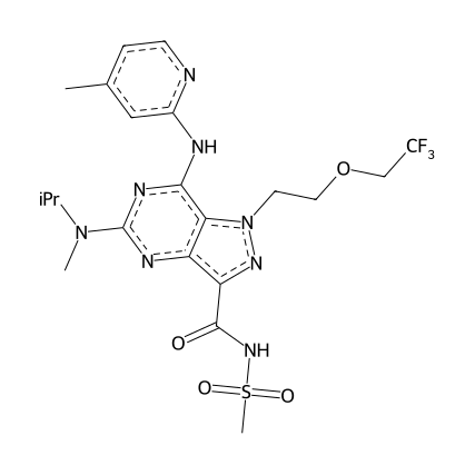 Cc1ccnc(Nc2nc(N(C)C(C)C)nc3c(C(=O)NS(C)(=O)=O)nn(CCOCC(F)(F)F)c23)c1